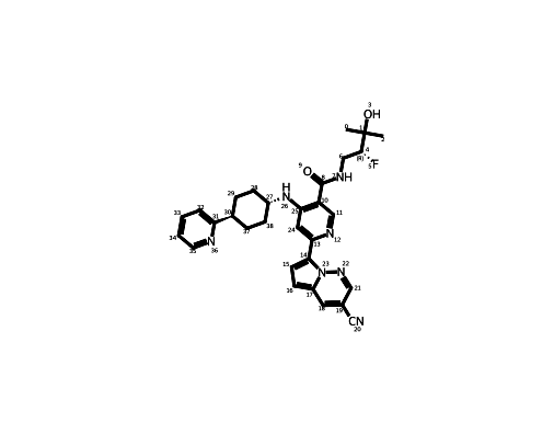 CC(C)(O)[C@H](F)CNC(=O)c1cnc(-c2ccc3cc(C#N)cnn23)cc1N[C@H]1CC[C@H](c2ccccn2)CC1